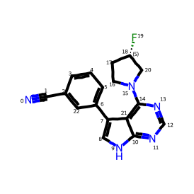 N#Cc1cccc(-c2c[nH]c3ncnc(N4CC[C@H](F)C4)c23)c1